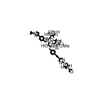 COC(=O)N[C@H](C(=O)N[C@@H](Cc1ccc(C#Cc2cnc(N3C[C@H]4C[C@@H]3CN4C3COC3)nc2)cc1)[C@@H](O)CN(Cc1ccc(-c2ccn(C3CC3)n2)cc1)NC(=O)[C@@H](NC(=O)O)C(C)(C)C(F)(F)F)C(C)(C)C(F)(F)F